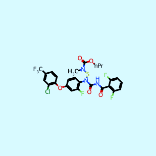 CCCOC(=O)N(C)SN(C(=O)NC(=O)c1c(F)cccc1F)c1ccc(Oc2ccc(C(F)(F)F)cc2Cl)cc1F